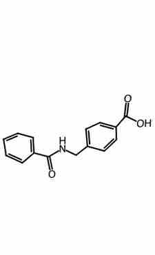 O=C(O)c1ccc(CNC(=O)c2ccccc2)cc1